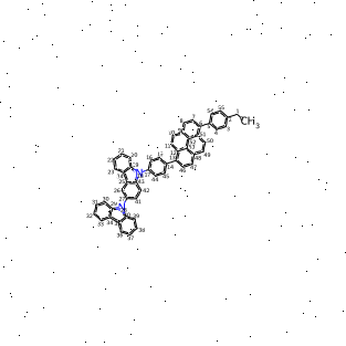 CCc1ccc(-c2ccc3ccc4c(-c5ccc(-n6c7ccccc7c7cc(-n8c9ccccc9c9ccccc98)ccc76)cc5)ccc5ccc2c3c54)cc1